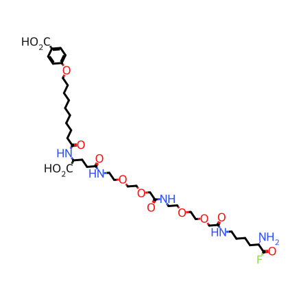 N[C@@H](CCCCNC(=O)COCCOCCNC(=O)COCCOCCNC(=O)CCC(NC(=O)CCCCCCCCCOc1ccc(C(=O)O)cc1)C(=O)O)C(=O)F